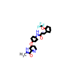 CNC(=O)c1cc(Oc2ccc(NC(=O)/C=C/c3ccccc3OC(F)(F)F)cc2)ccn1